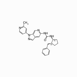 Cc1cc(-n2ncc3cc(NC(=O)N[C@H]4CCC[C@H]4Cc4ccccc4)ncc32)ccn1